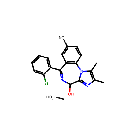 CC(=O)O.Cc1nc2n(c1C)-c1ccc(C#N)cc1C(c1ccccc1Cl)=NC2O